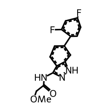 COCC(=O)Nc1n[nH]c2cc(-c3ccc(F)cc3F)ccc12